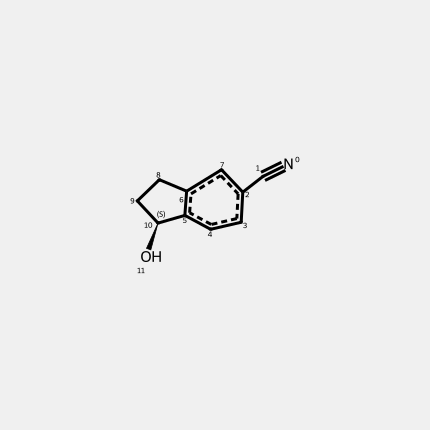 N#Cc1ccc2c(c1)CC[C@@H]2O